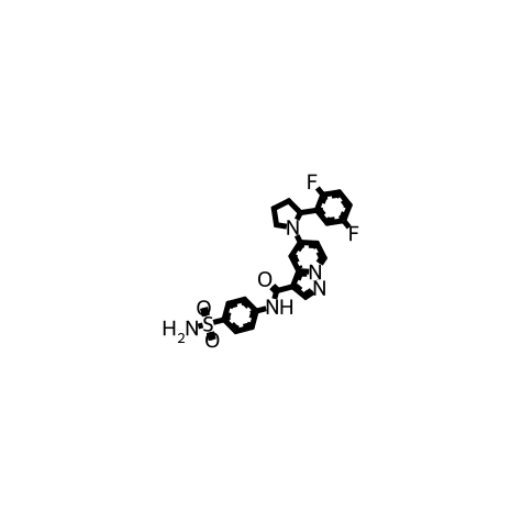 NS(=O)(=O)c1ccc(NC(=O)c2cnn3ccc(N4CCCC4c4cc(F)ccc4F)cc23)cc1